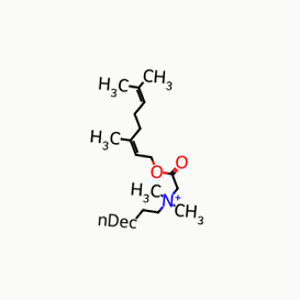 CCCCCCCCCCCC[N+](C)(C)CC(=O)OCC=C(C)CCC=C(C)C